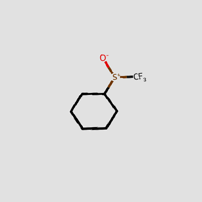 [O-][S+](C1CCCCC1)C(F)(F)F